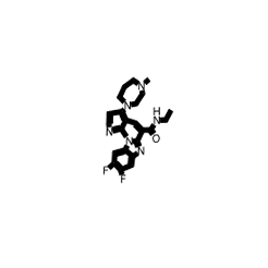 CCNC(=O)c1cc2c(N3CCCN(C)CC3)ccnc2n2c1nc1cc(F)c(F)cc12